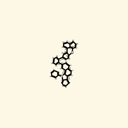 c1ccc(-n2c3ccccc3c3ccc4ccc(-c5ccccc5-c5ccc6c(c5)-c5cccc7cccc(c57)O6)cc4c32)cc1